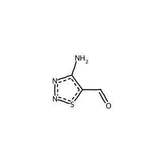 Nc1nnsc1C=O